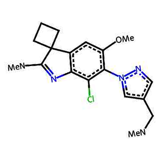 CNCc1cnn(-c2c(OC)cc3c(c2Cl)N=C(NC)C32CCC2)c1